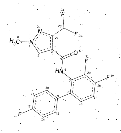 Cn1cc(C(=O)Nc2c(-c3ccc(F)cc3)ccc(F)c2F)c(C(F)F)n1